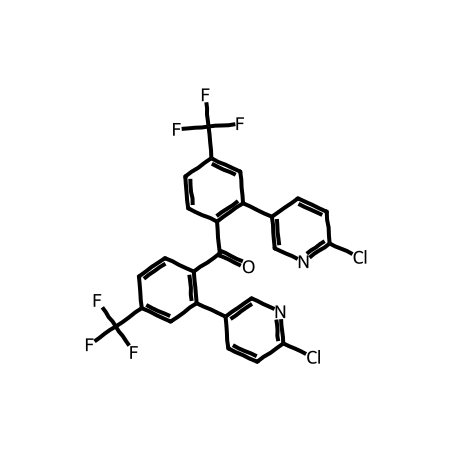 O=C(c1ccc(C(F)(F)F)cc1-c1ccc(Cl)nc1)c1ccc(C(F)(F)F)cc1-c1ccc(Cl)nc1